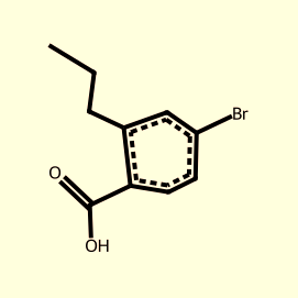 CCCc1cc(Br)ccc1C(=O)O